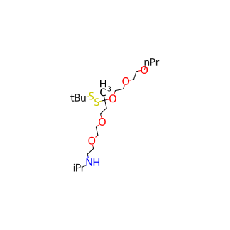 CCCOCCOCCOC(C)(CCOCCOCCNC(C)C)SSC(C)(C)C